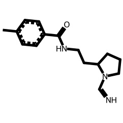 Cc1ccc(C(=O)NCCC2CCCN2C=N)cc1